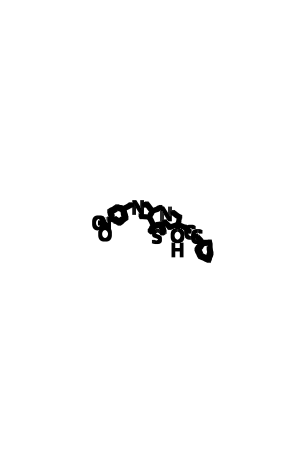 O=[N+]([O-])c1ccc(CN2CC(CN3CCC(O)(CCCc4ccccc4)CC3)C(c3ccsc3)C2)cc1